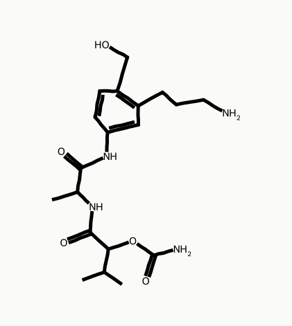 CC(NC(=O)C(OC(N)=O)C(C)C)C(=O)Nc1ccc(CO)c(CCCN)c1